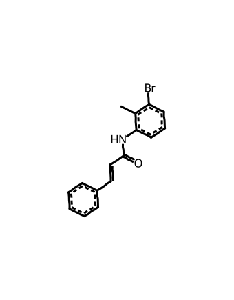 Cc1c(Br)cccc1NC(=O)C=Cc1ccccc1